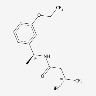 CC(C)[C@H](CC(=O)N[C@@H](C)c1cccc(OCC(F)(F)F)c1)C(F)(F)F